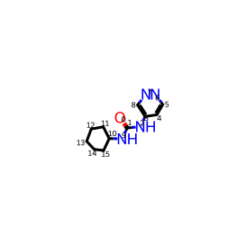 O=C(Nc1ccnnc1)NC1CCCCC1